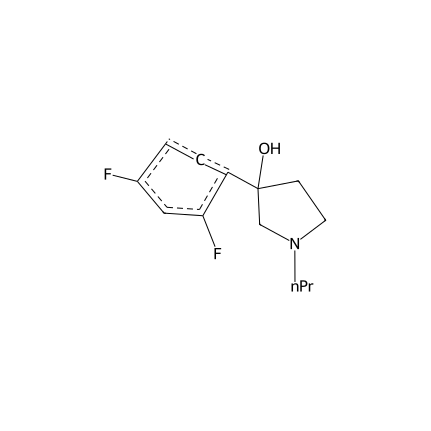 CCCN1CCC(O)(c2ccc(F)cc2F)C1